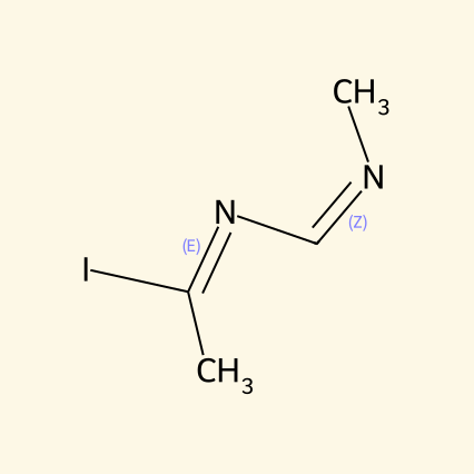 C/N=C\N=C(/C)I